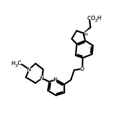 CN1CCN(c2cccc(CCOc3ccc4c(c3)CC[C@H]4CC(=O)O)n2)CC1